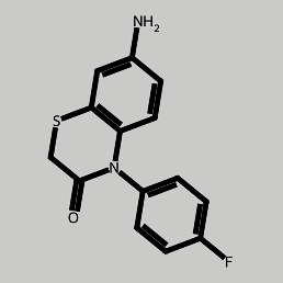 Nc1ccc2c(c1)SCC(=O)N2c1ccc(F)cc1